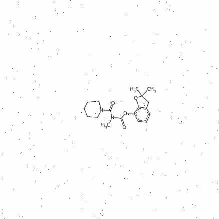 CN(C(=O)Oc1cccc2c1OC(C)(C)C2)C(=O)N1CCCCC1